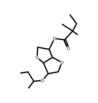 CCC(C)OC1COC2C(OC(=O)C(C)(C)CC)COC12